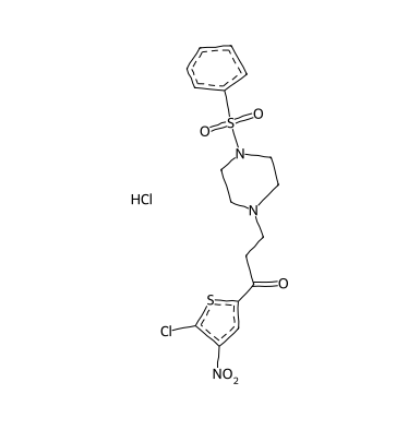 Cl.O=C(CCN1CCN(S(=O)(=O)c2ccccc2)CC1)c1cc([N+](=O)[O-])c(Cl)s1